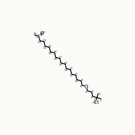 CCC(C)(C)CCCOCCCCCCCCCCCCCCCCC[S+](C)[O-]